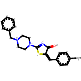 CC(C)(C)c1ccc(C=C2SC(N3CCN(Cc4ccccc4)CC3)=NC2=O)cc1